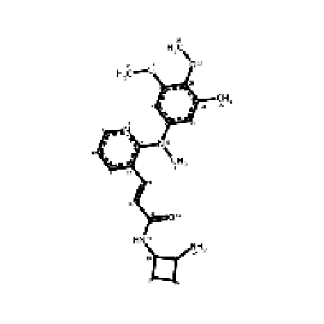 COc1cc(N(C)c2ncccc2/C=C/C(=O)NC2CCC2N)cc(C)c1OC